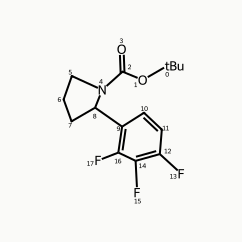 CC(C)(C)OC(=O)N1CCCC1c1ccc(F)c(F)c1F